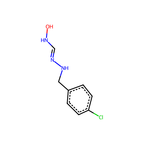 ONC=NNCc1ccc(Cl)cc1